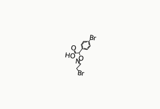 O=C(O)C(ON=CCBr)c1ccc(Br)cc1